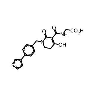 O=C(O)CNC(=O)C1=C(O)CCN(Cc2ccc(-c3ccsc3)cc2)C1=O